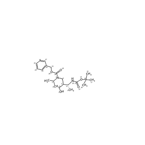 CC(C)N(CC(CO)[C@@H](C)NC(=O)OC(C)(C)C)C(=O)OCc1ccccc1